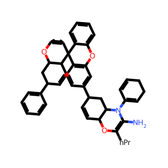 CCCC1=C(N)N(C2=CCCC=C2)C2CC(c3ccc4c(c3)Oc3ccccc3C43c4ccccc4OC4CC(c5ccccc5)C=CC43)C=CC2O1